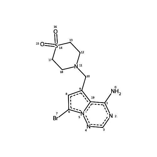 Nc1ncnn2c(Br)cc(CN3CCS(=O)(=O)CC3)c12